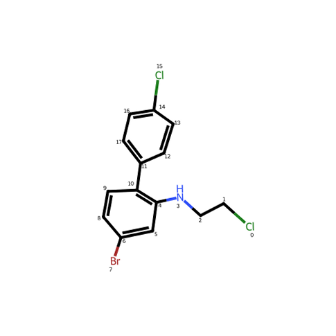 ClCCNc1cc(Br)ccc1-c1ccc(Cl)cc1